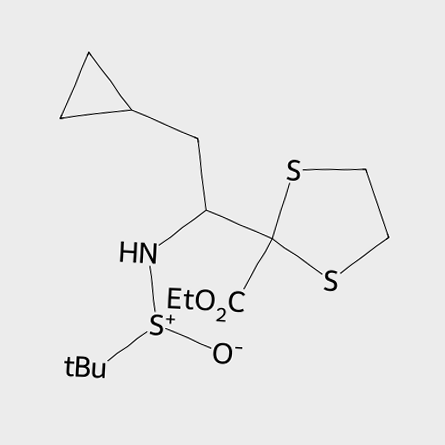 CCOC(=O)C1(C(CC2CC2)N[S+]([O-])C(C)(C)C)SCCS1